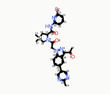 CC(=O)c1nn(CC(=O)N2C[Si](C)(C)CC2C(=O)Nc2cccc(Br)n2)c2ccc(-c3cnc(C)nc3)cc12